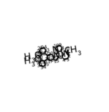 CN1CC=CC=C1c1cccnc1-n1ccc2cc3c(cc21)-c1ccccc1C(C)(C)c1ccccc1-3